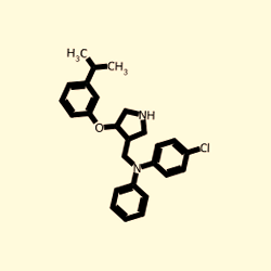 CC(C)c1cccc(OC2CNCC2CN(c2ccccc2)c2ccc(Cl)cc2)c1